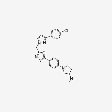 CN(C)C1CCN(c2ccc(-c3nnc(Cn4ccc(-c5ccc(Cl)cc5)n4)o3)cc2)C1